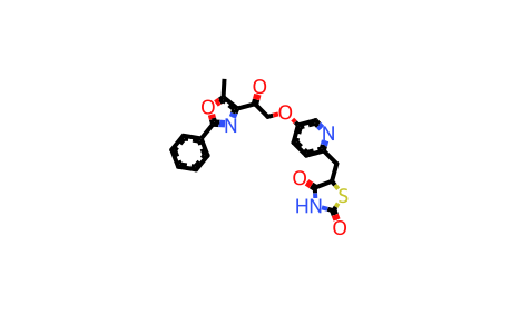 Cc1oc(-c2ccccc2)nc1C(=O)COc1ccc(CC2SC(=O)NC2=O)nc1